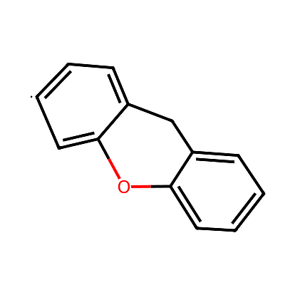 [c]1ccc2c(c1)Oc1ccccc1C2